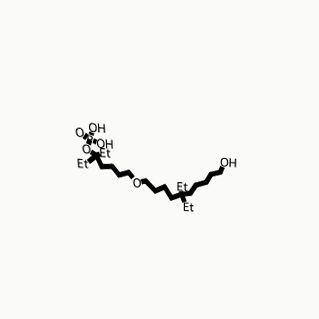 CCC(CC)(CCCCCO)CCCCOCCCCC(CC)(CC)OP(=O)(O)O